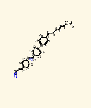 CCCCCCCc1ccc([C@H]2CC[C@H](/C=C/[C@H]3CC[C@H](C=CC#N)CC3)CC2)cc1